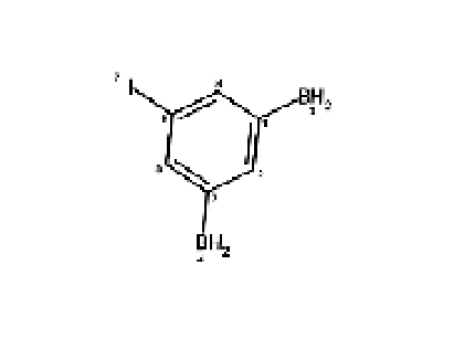 Bc1cc(B)cc(I)c1